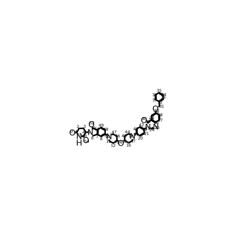 O=C1CCC(N2Cc3cc(N4CCC(OC5CCN(c6ccc(-n7cnc8ccc(OCc9ccccc9)cc8c7=O)cc6)CC5)CC4)ccc3C2=O)C(=O)N1